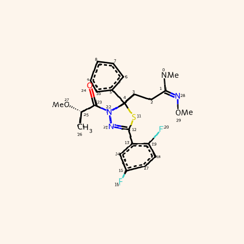 CN/C(CCC1(c2ccccc2)SC(c2cc(F)ccc2F)=NN1C(=O)[C@H](C)OC)=N/OC